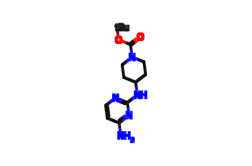 CC(C)(C)OC(=O)N1CCC(Nc2nccc(N)n2)CC1